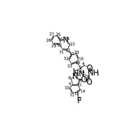 O=C1NOCC(CN2Cc3ccc(F)cc3C2=O)(c2ccc(-c3cnc4ccccc4c3)cc2)N1